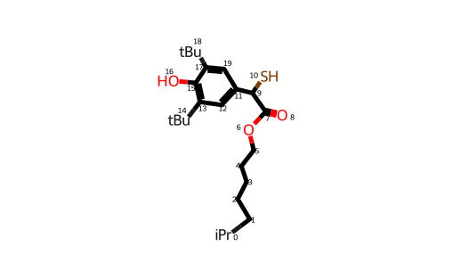 CC(C)CCCCCOC(=O)C(S)c1cc(C(C)(C)C)c(O)c(C(C)(C)C)c1